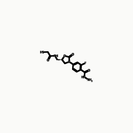 NNC(=O)c1ccc(N2C[C@H](CNC(=O)CS)OC2=O)cc1F